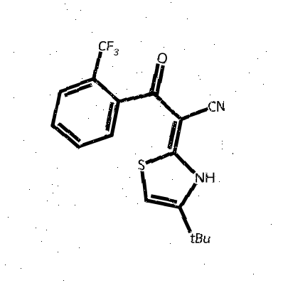 CC(C)(C)C1=CSC(=C(C#N)C(=O)c2ccccc2C(F)(F)F)N1